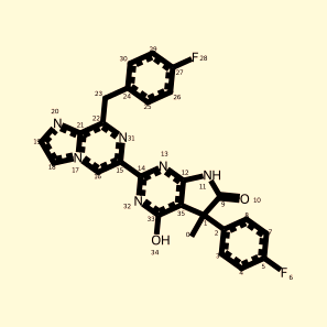 CC1(c2ccc(F)cc2)C(=O)Nc2nc(-c3cn4ccnc4c(Cc4ccc(F)cc4)n3)nc(O)c21